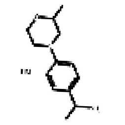 CC1CN(c2ccc(C(C)N)cc2)CCO1.Cl